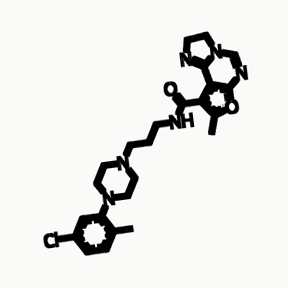 Cc1ccc(Cl)cc1N1CCN(CCCNC(=O)c2c(C)oc3c2C2=NCCN2C=N3)CC1